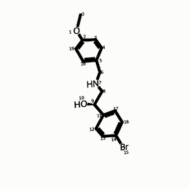 COc1ccc(CNC[C@H](O)c2ccc(Br)cc2)cc1